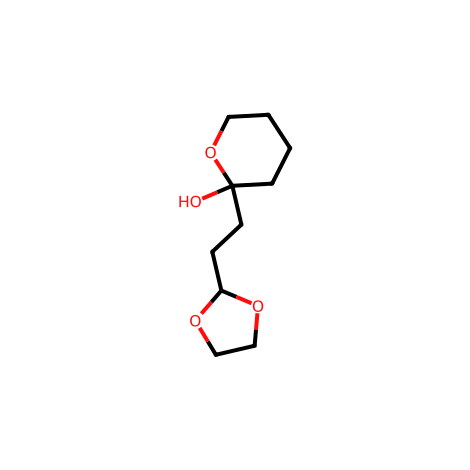 OC1(CCC2OCCO2)CCCCO1